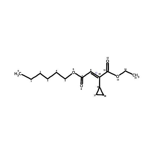 CCCCCCOC(=O)/C=C(/C(=O)OCC)C1CC1